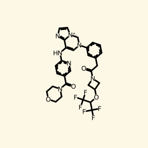 O=C(Cc1cccc(N2C=C(Nc3ccc(C(=O)N4CCOCC4)cn3)C3=NC=C[N+]3C2)c1)N1CC(OC(C(F)(F)F)C(F)(F)F)C1